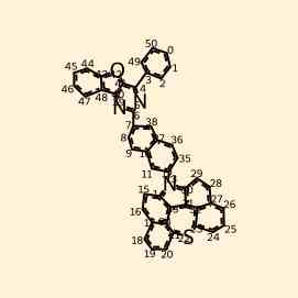 c1ccc(-c2nc(-c3ccc4cc(-n5c6ccc7cccc8sc9cccc%10ccc5c(c%109)c6c78)ccc4c3)nc3c2oc2ccccc23)cc1